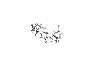 O=C(O)[C@H]1C2CCC(CC2)C1/C=N\c1ccc(=O)n(-c2c[nH]c3ncc(F)cc23)n1